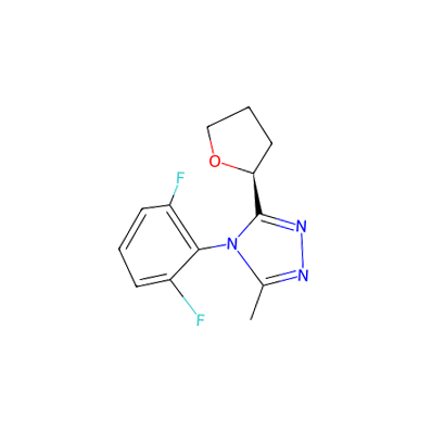 Cc1nnc([C@@H]2CCCO2)n1-c1c(F)cccc1F